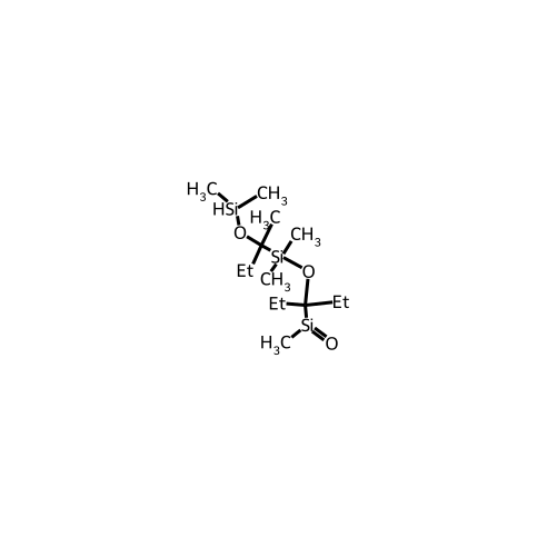 CCC(CC)(O[Si](C)(C)C(C)(CC)O[SiH](C)C)[Si](C)=O